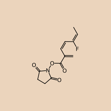 C=C(/C=C\C(F)=C/C)C(=O)ON1C(=O)CCC1=O